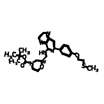 CSCCOc1ccc(-c2cc3nccnc3c(NC[C@@H]3CN(C(=O)OC(C)(C)C)CCO3)n2)cc1